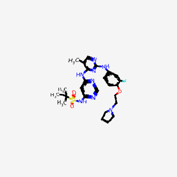 Cc1cnc(Nc2ccc(OCCN3CCCC3)c(F)c2)nc1Nc1cc(NS(=O)(=O)C(C)(C)C)ncn1